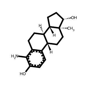 C[C@]12CC[C@@H]3c4ccc(O)c(N)c4CC[C@H]3[C@@H]1CC[C@@H]2O